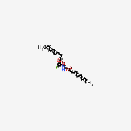 CC/C=C\C/C=C\C/C=C\C/C=C\C/C=C\C/C=C\CCC(=O)OCCCNC(=O)c1cc(F)ccc1OC(=O)CC/C=C\C/C=C\C/C=C\C/C=C\C/C=C\C/C=C\CC